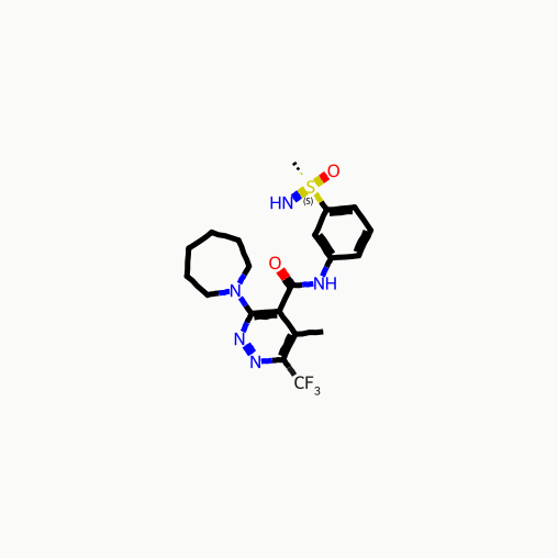 Cc1c(C(F)(F)F)nnc(N2CCCCCC2)c1C(=O)Nc1cccc([S@@](C)(=N)=O)c1